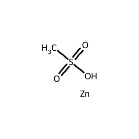 CS(=O)(=O)O.[Zn]